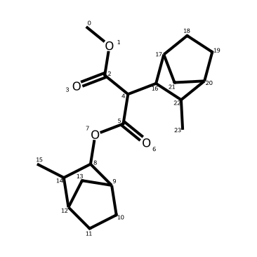 COC(=O)C(C(=O)OC1C2CCC(C2)C1C)C1C2CCC(C2)C1C